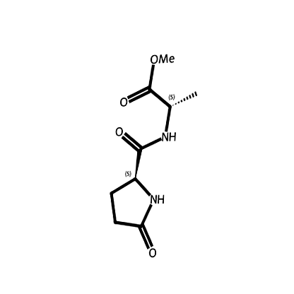 COC(=O)[C@H](C)NC(=O)[C@@H]1CCC(=O)N1